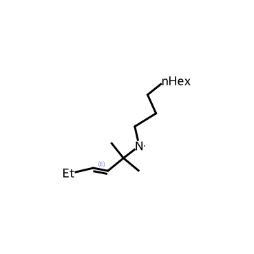 CC/C=C/C(C)(C)[N]CCCCCCCCC